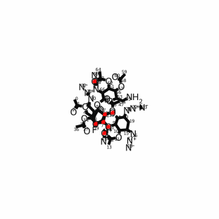 CC(=O)OCC1OC(OC2C(OC(C)=O)C(N=[N+]=[N-])CC(N=[N+]=[N-])C2OC2OC(CN=[N+]=[N-])C(OC(C)=O)C(F)C2N=[N+]=[N-])C(OC(C)=O)C1OC1OC(CN)C(OC(C)=O)C(OC(C)=O)C1N=[N+]=[N-]